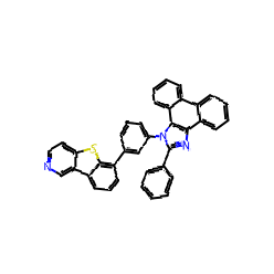 c1ccc(-c2nc3c4ccccc4c4ccccc4c3n2-c2cccc(-c3cccc4c3sc3ccncc34)c2)cc1